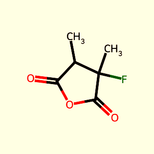 CC1C(=O)OC(=O)C1(C)F